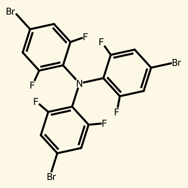 Fc1cc(Br)cc(F)c1N(c1c(F)cc(Br)cc1F)c1c(F)cc(Br)cc1F